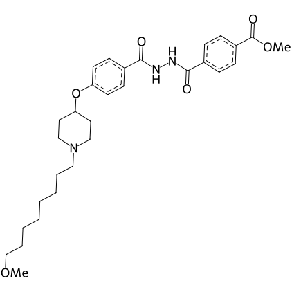 COCCCCCCCCN1CCC(Oc2ccc(C(=O)NNC(=O)c3ccc(C(=O)OC)cc3)cc2)CC1